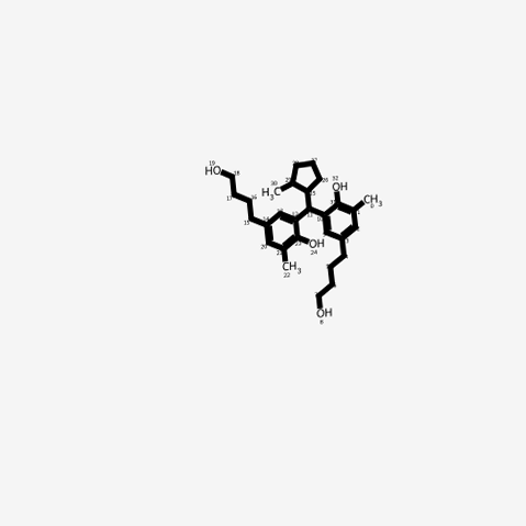 Cc1cc(CCCCO)cc(C(c2cc(CCCCO)cc(C)c2O)C2CCCC2C)c1O